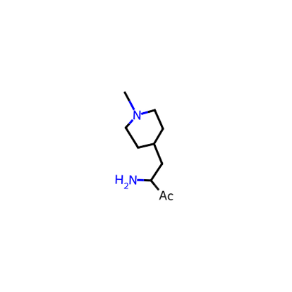 CC(=O)C(N)CC1CCN(C)CC1